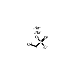 O=P([O-])([O-])CCl.[Na+].[Na+]